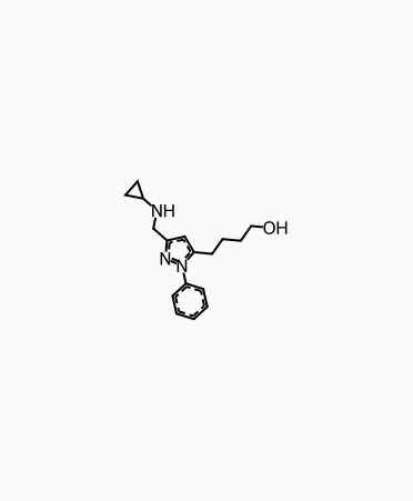 OCCCCc1cc(CNC2CC2)nn1-c1ccccc1